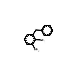 Nc1cccc(Cc2ccccc2)c1N